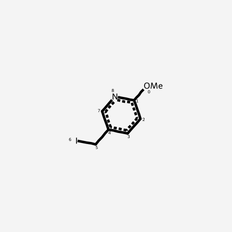 COc1ccc(CI)cn1